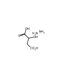 N.N.O=C(O)CC(O)C(O)=S